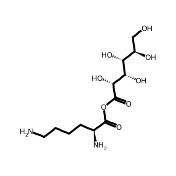 NCCCC[C@H](N)C(=O)OC(=O)[C@H](O)[C@@H](O)[C@H](O)[C@H](O)CO